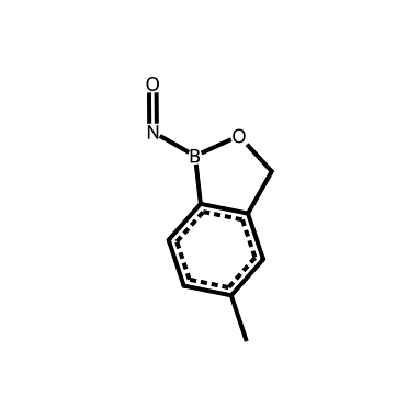 Cc1ccc2c(c1)COB2N=O